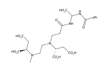 CCCC(=O)NC(NC(=O)CCN(CCN(C)[C@H](CC(=O)O)C(=O)O)[C@H](CC(=O)O)C(=O)O)C(=O)O